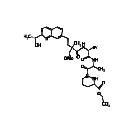 COCC(C)(C=Cc1ccc2ccc([C@@H](C)O)nc2c1)C(=O)NC(C(=O)NC(C)C(=O)N1CCCC(C(=O)OCC(Cl)(Cl)Cl)N1)C(C)C